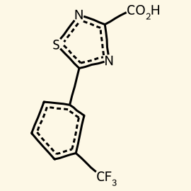 O=C(O)c1nsc(-c2cccc(C(F)(F)F)c2)n1